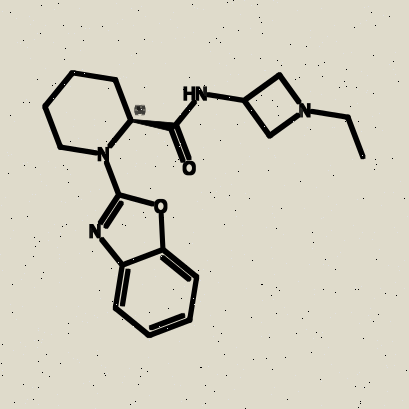 CCN1CC(NC(=O)[C@@H]2CCCCN2c2nc3ccccc3o2)C1